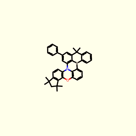 CC1(C)CC(C)(C)c2c1ccc1c2Oc2cccc3c2N1c1cc(-c2ccccc2)cc2c1B3c1ccccc1C2(C)C